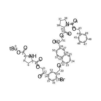 CC(C)(C)OC(=O)C1CCC(C(=O)OCC(=O)c2ccc(Br)c(COc3cccc4cc(C(=O)COC(=O)C5CCCN5C(=O)OCc5ccccc5)ccc34)c2)N1